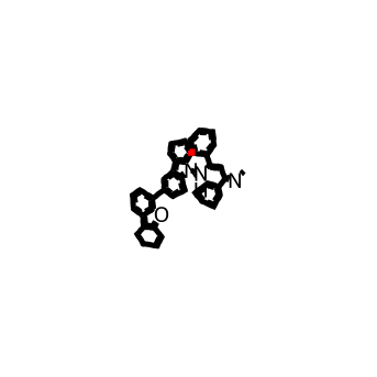 C/N=C(\C=C(/Nn1c2ccccc2c2cc(-c3cccc4c5c(oc34)C=CCC5)ccc21)c1ccccc1)c1ccccc1